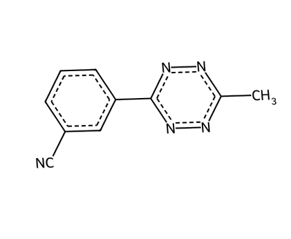 Cc1nnc(-c2cccc(C#N)c2)nn1